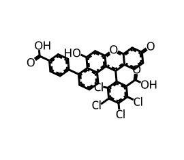 O=C(O)c1ccc(-c2cccc3c2c(O)cc2oc4cc(=O)ccc-4c(-c4c(Cl)c(Cl)c(Cl)c(Cl)c4C(=O)O)c23)cc1